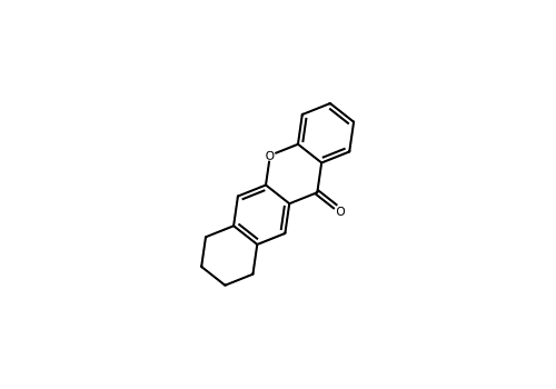 O=c1c2ccccc2oc2cc3c(cc12)CCCC3